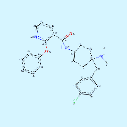 CN(C)C1(Cc2ccc(Cl)cc2)CCC(NC(=O)c2cccnc2Oc2ccccc2)CC1